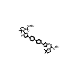 CC(C)(C)OC(=O)N1CCC(C)(C)C1c1nc(-c2ccc(-c3ccc(-c4c[nH]c([C@@H]5N(C(=O)OC(C)(C)C)CCC5(C)C)n4)cc3)cc2)c[nH]1